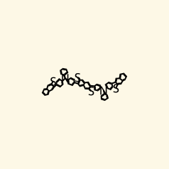 c1ccc(N(c2ccc3c(c2)sc2cc4ccccc4cc23)c2ccc3c(c2)sc2cc4cc5c(cc4cc23)sc2cc(N(c3ccccc3)c3ccc4c(c3)sc3cc6ccccc6cc34)ccc25)cc1